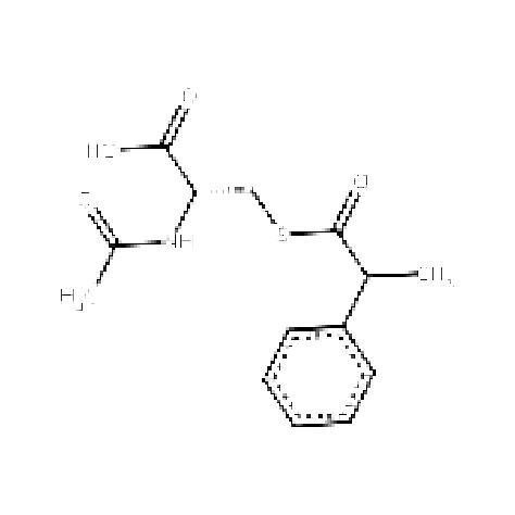 CC(=O)N[C@@H](CSC(=O)C(C)c1ccccc1)C(=O)O